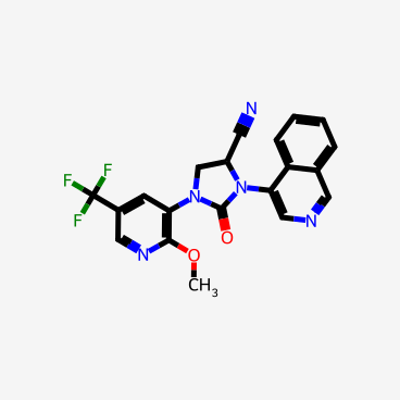 COc1ncc(C(F)(F)F)cc1N1CC(C#N)N(c2cncc3ccccc23)C1=O